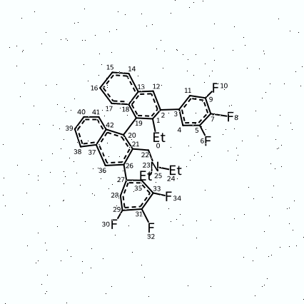 CCc1c(-c2cc(F)c(F)c(F)c2)cc2ccccc2c1-c1c(CN(CC)CC)c(-c2cc(F)c(F)c(F)c2)cc2ccccc12